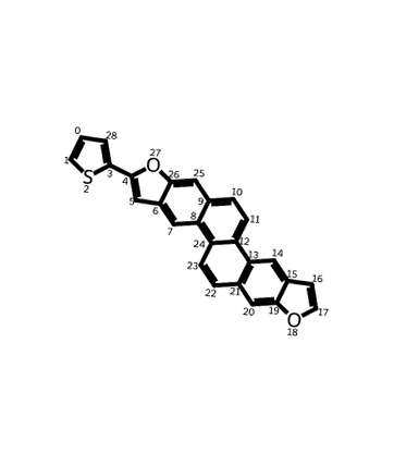 c1csc(-c2cc3cc4c(ccc5c6cc7ccoc7cc6ccc45)cc3o2)c1